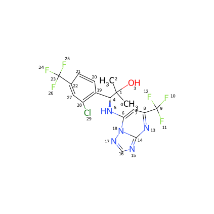 CC(C)(O)[C@@H](Nc1cc(C(F)(F)F)nc2ncnn12)c1ccc(C(F)(F)F)cc1Cl